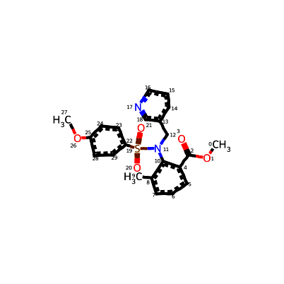 COC(=O)c1cccc(C)c1N(Cc1cccnc1)S(=O)(=O)c1ccc(OC)cc1